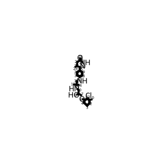 Cc1cccc(OCC(O)CNC(C)(C)CNc2ccc(C3=NNC(=O)CC3C)cc2)c1Cl